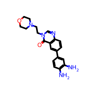 Nc1ccc(-c2ccc3ncn(CCN4CCOCC4)c(=O)c3c2)cc1N